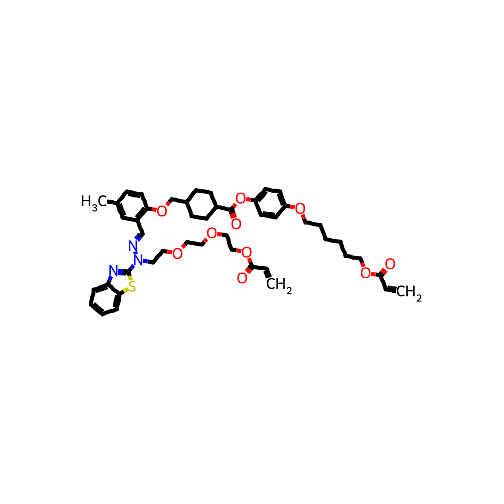 C=CC(=O)OCCCCCCOc1ccc(OC(=O)C2CCC(COc3ccc(C)cc3/C=N/N(CCOCCOCCOC(=O)C=C)c3nc4ccccc4s3)CC2)cc1